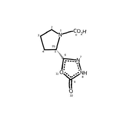 O=C(O)N1CCC[C@H]1c1n[nH]c(=O)o1